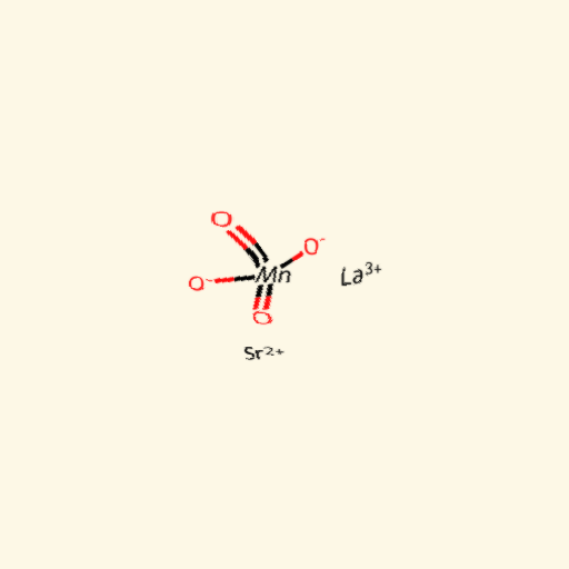 [La+3].[O]=[Mn](=[O])([O-])[O-].[Sr+2]